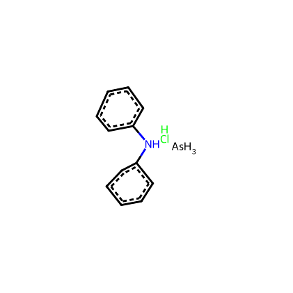 Cl.[AsH3].c1ccc(Nc2ccccc2)cc1